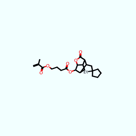 C=C(C)C(=O)OCCCC(=O)OC1C2CC3C1OC(=O)C3C2CC1(CC)CCCC1